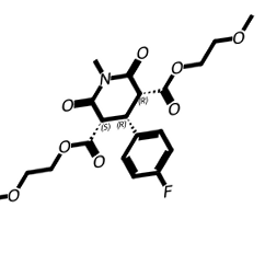 COCCOC(=O)[C@@H]1C(=O)N(C)C(=O)[C@H](C(=O)OCCOC)[C@@H]1c1ccc(F)cc1